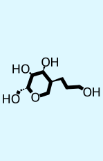 OCCC[C@H]1CO[C@H](CO)[C@H](O)[C@@H]1O